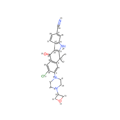 CC1(C)c2cc(N3CCN(C4COC4)CC3)c(Cl)cc2C(=O)c2c1[nH]c1cc(C#N)ccc21